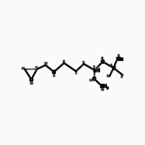 CC(C)(C)[Si](C)(C)O[SiH](CCCOCC1CO1)O[SiH3]